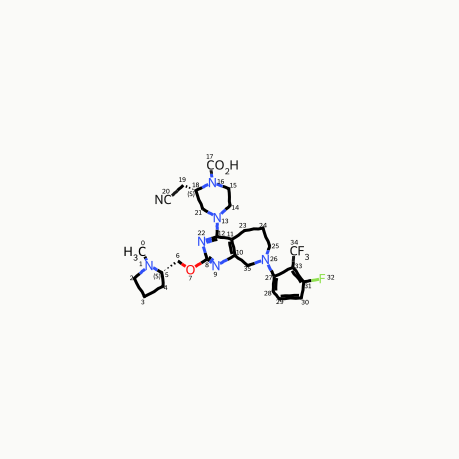 CN1CCC[C@H]1COc1nc2c(c(N3CCN(C(=O)O)[C@@H](CC#N)C3)n1)CCCN(c1cccc(F)c1C(F)(F)F)C2